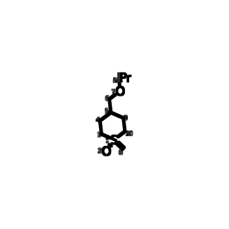 C=S1(=O)CCC(COC(C)C)CC1